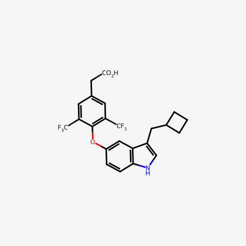 O=C(O)Cc1cc(C(F)(F)F)c(Oc2ccc3[nH]cc(CC4CCC4)c3c2)c(C(F)(F)F)c1